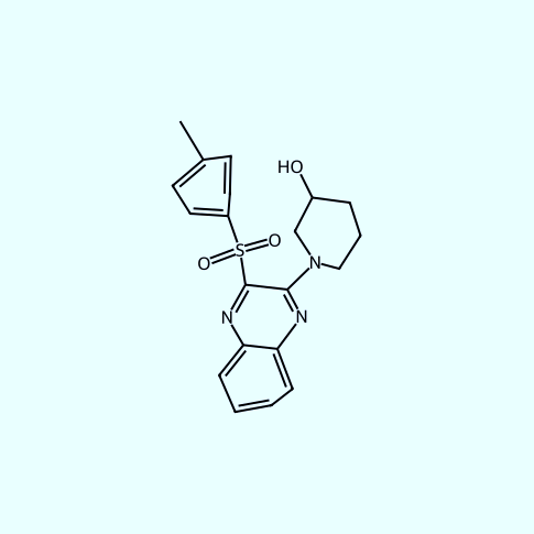 Cc1ccc(S(=O)(=O)c2nc3ccccc3nc2N2CCCC(O)C2)cc1